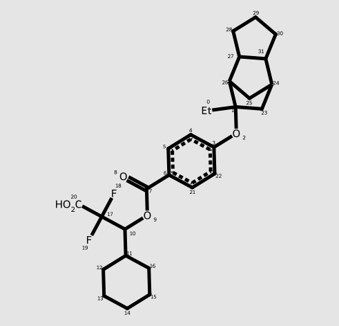 CCC1(Oc2ccc(C(=O)OC(C3CCCCC3)C(F)(F)C(=O)O)cc2)CC2CC1C1CCCC21